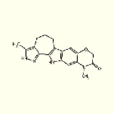 Cc1[nH]nc2c1CCCc1c-2[nH]c2cc3c(cc12)OCC(=O)N3C